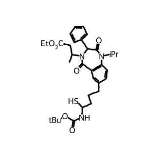 CCOC(=O)CC(C)N1C(=O)c2cc(CCCC(S)NC(=O)OC(C)(C)C)ccc2N(C(C)C)C(=O)C1c1ccccc1